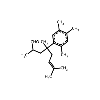 CC(C)=CCC(C)(CC(C)C=O)c1cc(C)c(C)cc1C